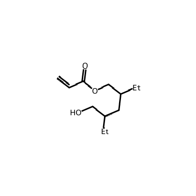 C=CC(=O)OCC(CC)CC(CC)CO